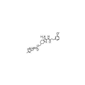 COc1cccc(CCC(=O)Nc2sc3c(c2N)CCC(COC(=O)NCc2cc(C)on2)C3)c1